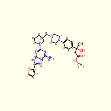 COC(=O)CC(C)(O)c1ccc(N2CCN(CC3CCCN(c4nc(N)n5nc(-c6ccco6)nc5n4)C3)CC2)cc1